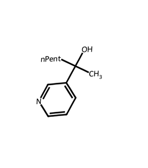 CCCCCC(C)(O)c1cccnc1